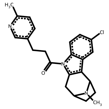 Cc1ccc(CCC(=O)n2c3c(c4cc(Cl)ccc42)C2CCC(C3)N2C)cn1